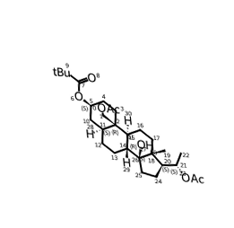 CC(=O)OC[C@]12CC[C@H](OC(=O)C(C)(C)C)C[C@@H]1CC[C@@H]1[C@@H]2CC[C@]2(C)[C@@H]([C@H](C)OC(C)=O)CC[C@]12O